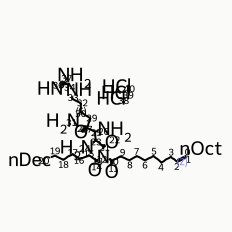 CCCCCCCC/C=C\CCCCCCCC(=O)N(C(=O)CCCCCCCCCCCCCCC)C(=O)C(N)C(N)C(=O)C[C@@H](N)CCNC(=N)N.Cl.Cl.Cl